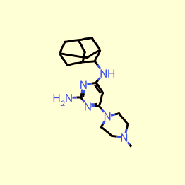 CN1CCN(c2cc(NC3C4CC5CC(C4)CC3C5)nc(N)n2)CC1